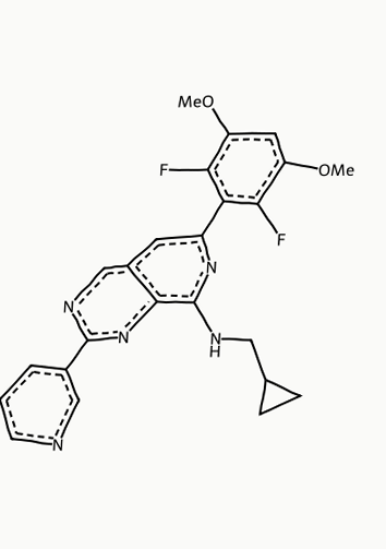 COc1cc(OC)c(F)c(-c2cc3cnc(-c4cccnc4)nc3c(NCC3CC3)n2)c1F